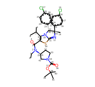 CCN(C(=O)C1=C(C(C)C)N2C(=N[C@@](C)(c3ccc(Cl)cc3)[C@H]2c2ccc(Cl)cc2)S1)[C@H]1CCN(C(=O)OC(C)(C)C)C1